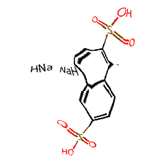 O=S(=O)(O)c1[c]c2ccc(S(=O)(=O)O)cc2cc1.[NaH].[NaH]